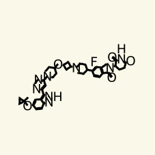 CC1(Oc2ccc3n[nH]c(-c4cc(N5CCC(OC6CC(N7CCC(c8ccc9c(c8F)CN(C8CCC(=O)NC8=O)C9=O)CC7)C6)CC5)ncn4)c3c2)CC1